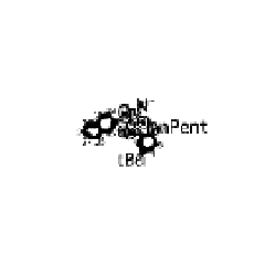 CCCCCOc1ccc(C(C)(C)C)cc1S(=O)(=O)C(=[N+]=[N-])S(=O)(=O)c1ccc2ccccc2c1